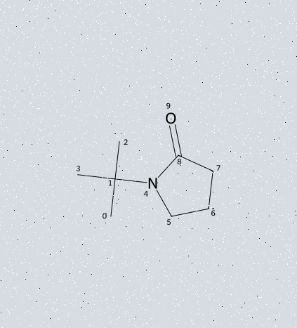 CC(C)(C)N1C[CH]CC1=O